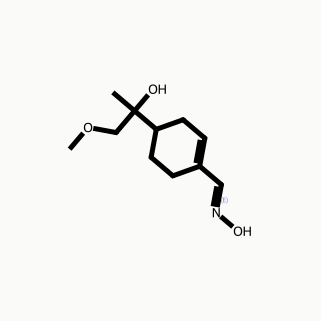 COCC(C)(O)C1CC=C(/C=N/O)CC1